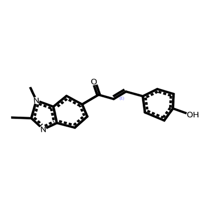 Cc1nc2ccc(C(=O)/C=C/c3ccc(O)cc3)cc2n1C